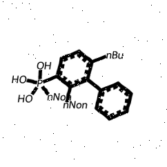 CCCCCCCCCc1c(P(O)(O)(O)CCCCCCCCC)ccc(CCCC)c1-c1ccccc1